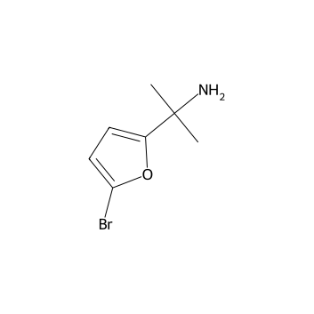 CC(C)(N)c1ccc(Br)o1